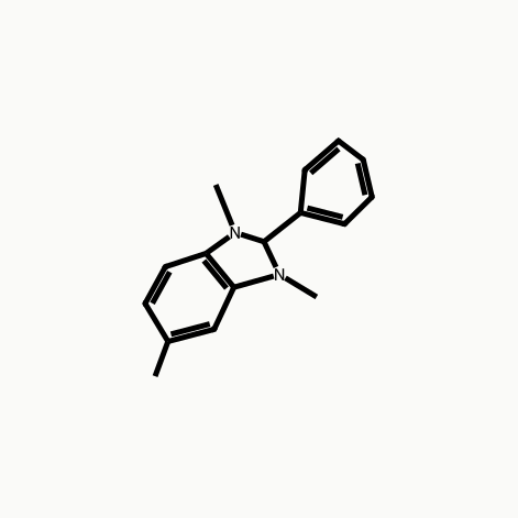 Cc1ccc2c(c1)N(C)C(c1ccccc1)N2C